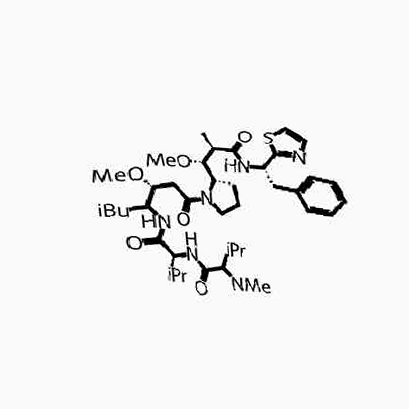 CCC(C)C(NC(=O)[C@@H](NC(=O)C(NC)C(C)C)C(C)C)[C@@H](CC(=O)N1CCC[C@H]1[C@H](OC)[C@@H](C)C(=O)N[C@@H](Cc1ccccc1)c1nccs1)OC